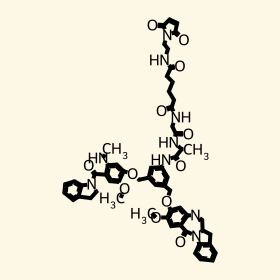 CNc1cc(OCc2cc(COc3cc4c(cc3OC)C(=O)N3c5ccccc5CC3C=N4)cc(NC(=O)C(C)NC(=O)CNC(=O)CCCCC(=O)NCCN3C(=O)C=CC3=O)c2)c(OC)cc1C(=O)N1CCc2ccccc21